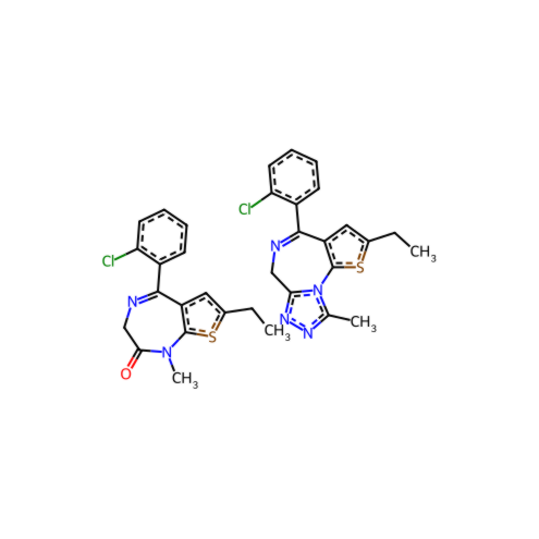 CCc1cc2c(s1)-n1c(C)nnc1CN=C2c1ccccc1Cl.CCc1cc2c(s1)N(C)C(=O)CN=C2c1ccccc1Cl